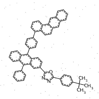 CC(C)(C)c1ccc(-c2nnc(-c3ccc4c(-c5ccc(-c6cccc7c6ccc6cc8ccccc8cc67)cc5)c5ccccc5c(-c5ccccc5)c4c3)o2)cc1